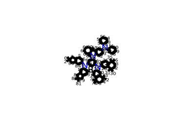 CC1(C)Cc2ccc(N3c4cc5c(cc4B4c6cc7c(cc6N(c6ccc8c(c6)C(C)(C)CCC8(C)C)c6cc(N8c9ccc(N(c%10ccccc%10)c%10ccccc%10)cc9C9(C)CCCCC89C)cc3c64)C(C)(C)CCC7(C)C)CC(C)(C)C5)cc2C1